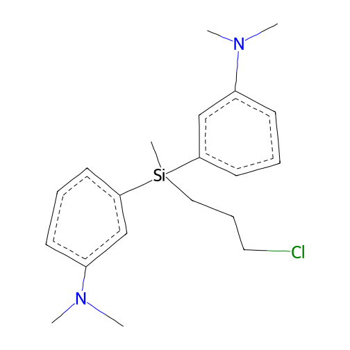 CN(C)c1cccc([Si](C)(CCCCl)c2cccc(N(C)C)c2)c1